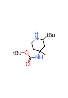 CC1(NC(=O)OC(C)(C)C)CCNC(C(C)(C)C)C1